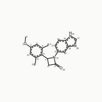 COc1cc(F)c(C2CC(=O)N2c2ccc3[nH]cnc3c2)c(F)c1